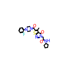 Cc1c(C(=O)N2CCN(c3ccccc3F)CC2)sc2ncn(CC(=O)NC3CCCC3)c(=O)c12